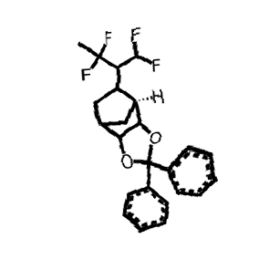 CC(F)(F)C(C(F)F)C1CC2C[C@@H]1C1OC(c3ccccc3)(c3ccccc3)OC21